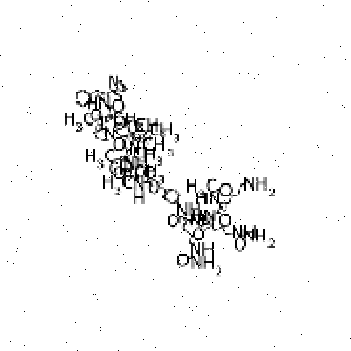 CC[C@H](C)[C@@H]([C@@H](CC(=O)N1CCC[C@H]1[C@H](OC)[C@@H](C)C(=O)N[C@@H](Cc1ccccc1)c1nccs1)OC)N(C)C(=O)[C@@H](NC(=O)C(C)(C)NC(=O)OCc1ccc(NC(=O)[C@H](CCCNC(N)=O)NC(=O)[C@H](CCCNC(N)=O)NC(=O)[C@H](CCCCN)NC(C)=O)cc1)C(C)C